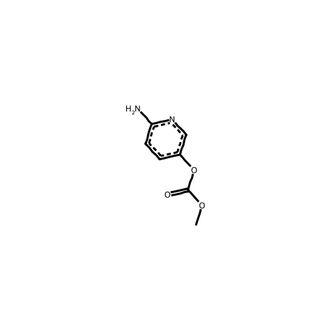 COC(=O)Oc1ccc(N)nc1